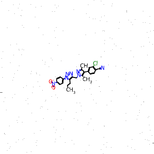 CCCc1c(Cn2nc(C)c(-c3ccc(C#N)c(Cl)c3)c2C)nnn1-c1ccc([N+](=O)[O-])cc1